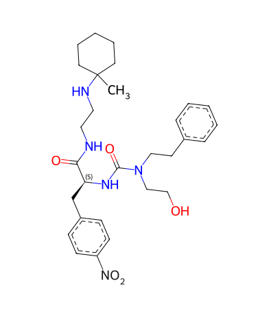 CC1(NCCNC(=O)[C@H](Cc2ccc([N+](=O)[O-])cc2)NC(=O)N(CCO)CCc2ccccc2)CCCCC1